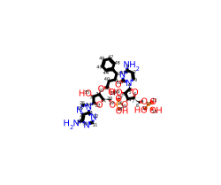 Nc1ccn([C@@H]2O[C@H](COP(=O)(O)O)[C@@H](OP(=O)(O)OC[C@@H]3O[C@@H](n4cnc5c(N)ncnc54)[C@H](O)[C@@H]3OC(=O)CCCc3ccccc3)[C@H]2O)c(=O)n1